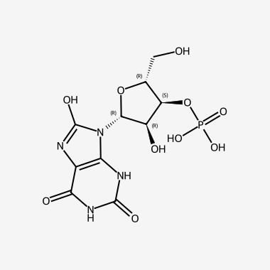 O=c1[nH]c(=O)c2nc(O)n([C@@H]3O[C@H](CO)[C@@H](OP(=O)(O)O)[C@H]3O)c2[nH]1